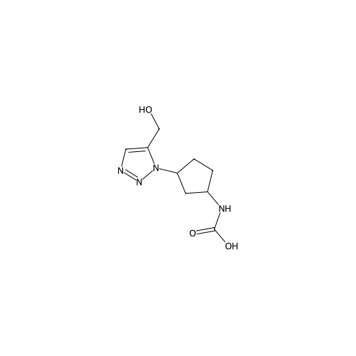 O=C(O)NC1CCC(n2nncc2CO)C1